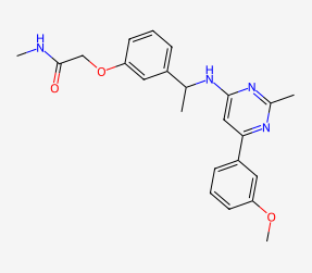 CNC(=O)COc1cccc(C(C)Nc2cc(-c3cccc(OC)c3)nc(C)n2)c1